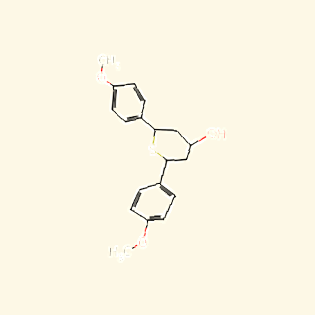 COc1ccc(C2CC(O)CC(c3ccc(OC)cc3)S2)cc1